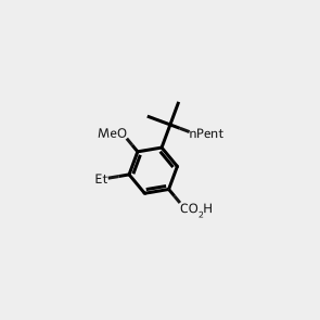 CCCCCC(C)(C)c1cc(C(=O)O)cc(CC)c1OC